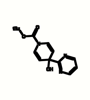 CC(C)(C)OC(=O)N1C=CC(O)(c2ncccn2)C=C1